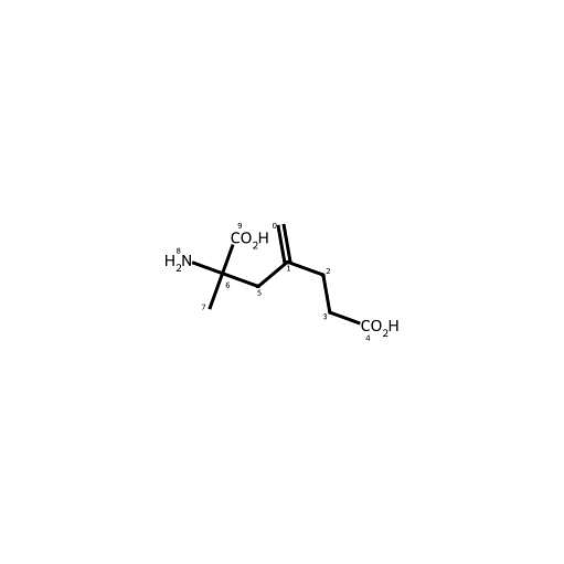 C=C(CCC(=O)O)CC(C)(N)C(=O)O